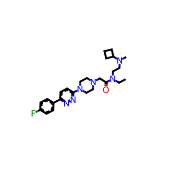 CCN(CCN(C)C1CCC1)C(=O)CN1CCN(c2ccc(-c3ccc(F)cc3)nn2)CC1